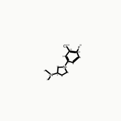 CN(C)C1CCN(c2ccc(F)c(Cl)c2)C1